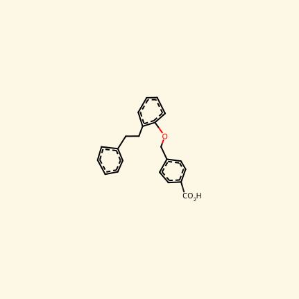 O=C(O)c1ccc(COc2ccccc2CCc2ccccc2)cc1